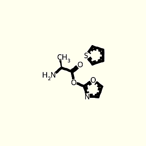 C[C@H](N)C(=O)Oc1ncco1.c1ccsc1